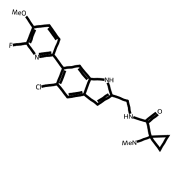 CNC1(C(=O)NCc2cc3cc(Cl)c(-c4ccc(OC)c(F)n4)cc3[nH]2)CC1